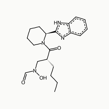 CCCC[C@H](CN(O)C=O)C(=O)N1CCCC[C@H]1c1nc2ccccc2[nH]1